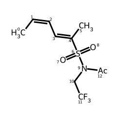 C/C=C\C=C(/C)S(=O)(=O)N(CC(F)(F)F)C(C)=O